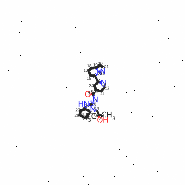 CC(C)(O)Cn1/c(=N/C(=O)c2ccnc(-c3cccc4ccnn34)c2)[nH]c2ccccc21